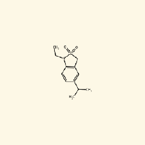 CCN1c2ccc(C(C)C)cc2CS1(=O)=O